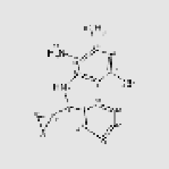 Cc1cc(Br)cc(NC(c2ccccc2)C2CC2)c1N